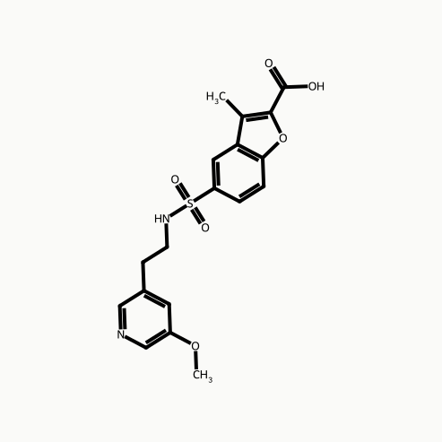 COc1cncc(CCNS(=O)(=O)c2ccc3oc(C(=O)O)c(C)c3c2)c1